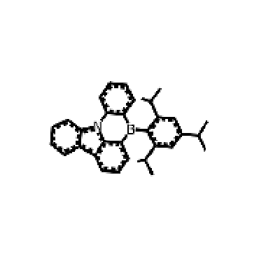 CC(C)c1cc(C(C)C)c(B2c3ccccc3-n3c4ccccc4c4cccc2c43)c(C(C)C)c1